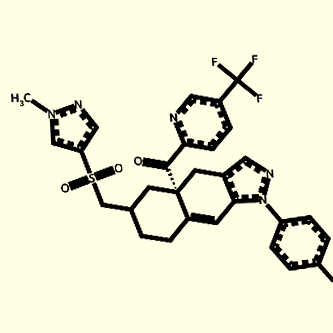 Cn1cc(S(=O)(=O)CC2CCC3=Cc4c(cnn4-c4ccc(F)cc4)C[C@]3(C(=O)c3ccc(C(F)(F)F)cn3)C2)cn1